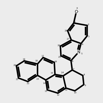 [O]c1ccc2nc(C3CCCc4ccc5c(ccc6ccccc65)c43)ccc2c1